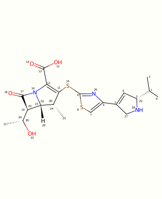 CC(C)[C@H]1C=C(c2csc(SC3=C(C(=O)O)N4C(=O)[C@H]([C@@H](C)O)[C@H]4[C@H]3C)n2)CN1